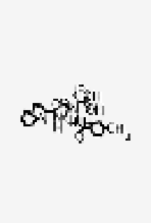 Cc1ccc(C(=O)NC[C@H](NC(=O)c2ccc3ccccc3n2)C(=O)N[C@@H](CC(C)C)B(O)O)cc1